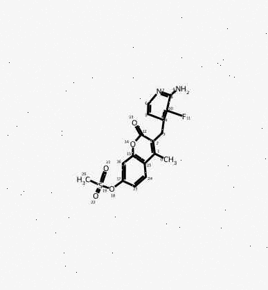 Cc1c(Cc2ccnc(N)c2F)c(=O)oc2cc(OS(C)(=O)=O)ccc12